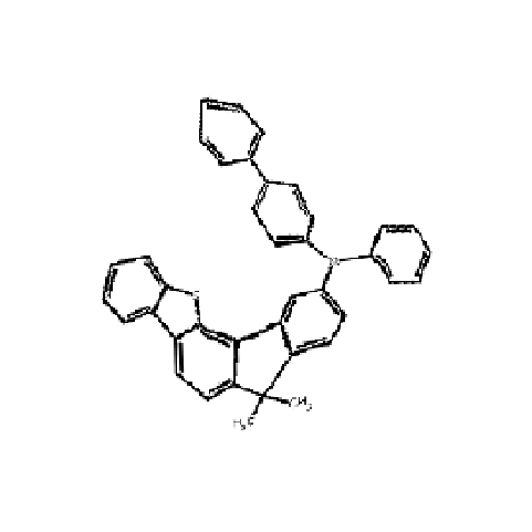 CC1(C)c2ccc(N(c3ccccc3)c3ccc(-c4ccccc4)cc3)cc2-c2c1ccc1c2sc2ccccc21